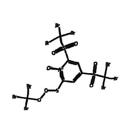 O=S(=O)(c1cc(SOOC(Br)(Br)Br)[n+]([O-])c(S(=O)(=O)C(Br)(Br)Br)c1)C(Br)(Br)Br